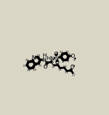 COc1ccc(S(=O)(=O)N[C@@H](CCCCCC(C)=O)C(=O)Nc2cnc3ccccc3c2)cc1